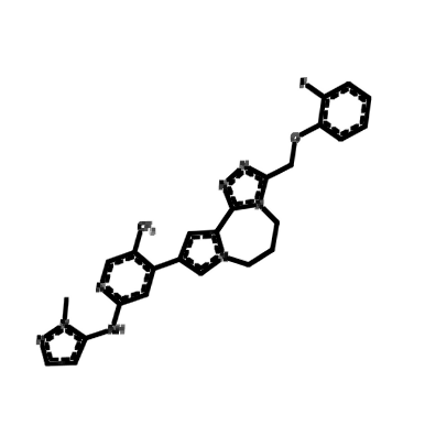 Cn1nccc1Nc1cc(-c2cc3n(c2)CCCn2c(COc4ccccc4F)nnc2-3)c(C(F)(F)F)cn1